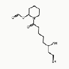 O=COC1CCCCN1C(=O)CCCCC(S)CCS